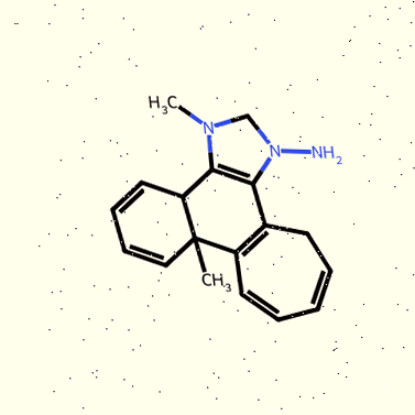 CN1CN(N)C2=C1C1C=CC=CC1(C)C1=C2CC=CC=C1